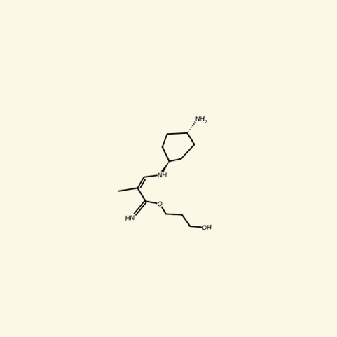 C/C(=C/N[C@H]1CC[C@H](N)CC1)C(=N)OCCCO